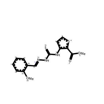 COC(=O)c1sccc1NC(=S)N/N=C/c1ccccc1OC